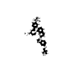 CC1(COc2ccc3c(c2)ncn3-c2ccc3cccc(N4CCC(N)CC4c4ccc(S(=O)(=O)O)cc4)c3n2)COC1